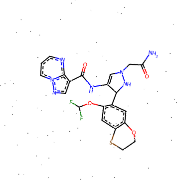 NC(=O)CN1C=C(NC(=O)c2cnn3cccnc23)C(c2cc3c(cc2OC(F)F)SCCO3)N1